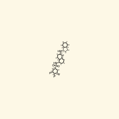 O=S(=O)(Nc1cccc2nc(N[C@@H]3CCc4ccccc43)ccc12)c1cc(F)c(F)c(F)c1